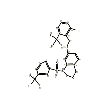 O=S(=O)(c1cccc(C(F)(F)F)c1)N1CCCc2ccc(OCc3c(F)cccc3C(F)(F)F)cc21